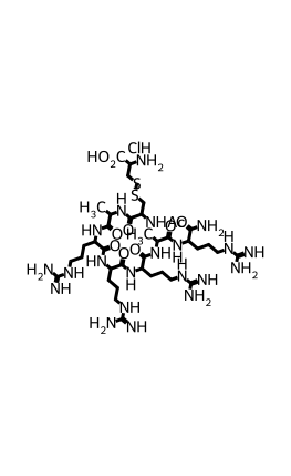 CC(=O)NC(CSSCC(N)C(=O)O)C(=O)NC(C)C(=O)NC(CCCNC(=N)N)C(=O)NC(CCCNC(=N)N)C(=O)NC(CCCNC(=N)N)C(=O)NC(C)C(=O)NC(CCCNC(=N)N)C(N)=O.Cl